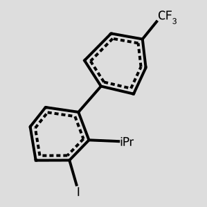 CC(C)c1c(I)cccc1-c1ccc(C(F)(F)F)cc1